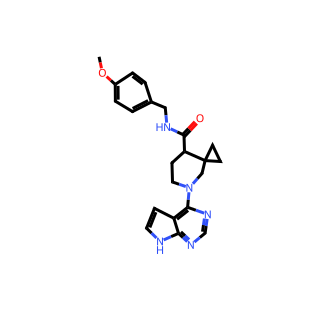 COc1ccc(CNC(=O)C2CCN(c3ncnc4[nH]ccc34)CC23CC3)cc1